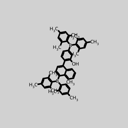 Cc1cc(C)c(B(c2ccc(-c3ccc(B(c4c(C)cc(C)cc4C)c4c(C)cc(C)cc4C)c4ccccc34)c(O)c2)c2c(C)cc(C)cc2C)c(C)c1